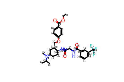 CCOC(=O)c1ccc(OC[C@@H]2C[C@H](N(C)C(C)C)CC[C@@H]2NC(=O)CNC(=O)c2cccc(C(F)(F)F)c2)cc1